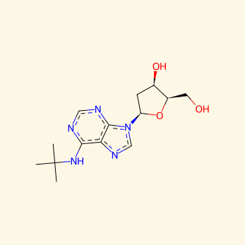 CC(C)(C)Nc1ncnc2c1ncn2[C@H]1C[C@@H](O)[C@@H](CO)O1